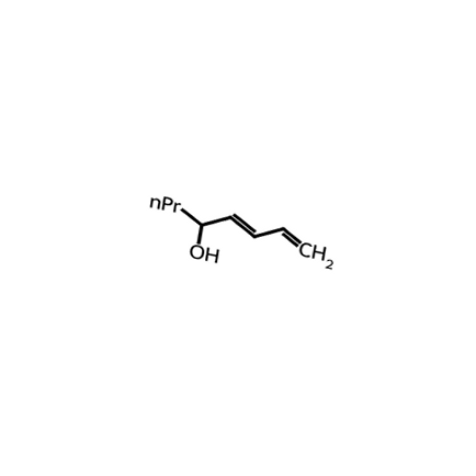 C=C/C=C/C(O)CCC